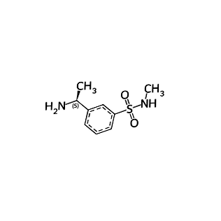 CNS(=O)(=O)c1cccc([C@H](C)N)c1